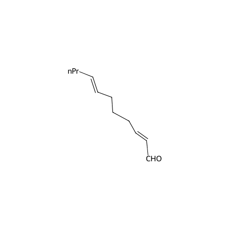 CCCC=CCCCC=CC=O